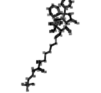 CCC[C@@](O)(C(=O)O)[C@H](C=CCCCCCNC(=O)OCC[Si](C)(C)C)C(=O)N1C(=S)OC(c2ccccc2)(c2ccccc2)[C@@H]1C(C)C